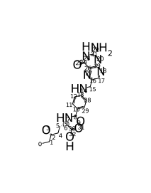 CCC(=O)CC[C@H](NC(=O)c1ccc(NCc2cnc3nc(N)[nH]c(=O)c3n2)cc1)C(=O)O